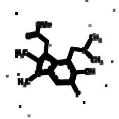 COC(=O)Cc1c(C)n(C)c2cc(F)c(O)c(CN(C)C)c12